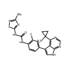 CC(C)(C)c1nsc(NC(=O)Nc2ccc(-c3c[nH]c4ncnc(C5(N)CC5)c34)cc2F)n1